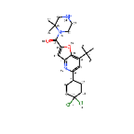 CC(C)(C)c1cc(C2CCC(Cl)(Cl)CC2)nc2cc(C(=O)N3CCNCC3(C)C)oc12